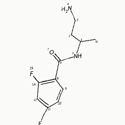 CC(CCN)NC(=O)c1ccc(F)cc1F